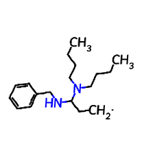 [CH2]CC(NCc1ccccc1)N(CCCC)CCCC